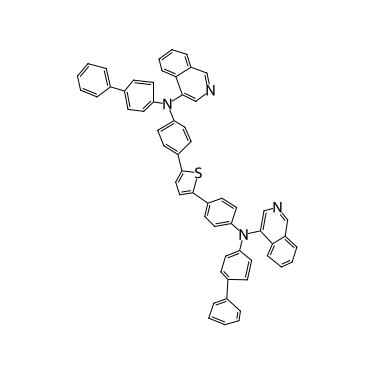 c1ccc(-c2ccc(N(c3ccc(-c4ccc(-c5ccc(N(c6ccc(-c7ccccc7)cc6)c6cncc7ccccc67)cc5)s4)cc3)c3cncc4ccccc34)cc2)cc1